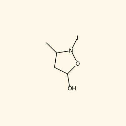 CC1CC(O)ON1I